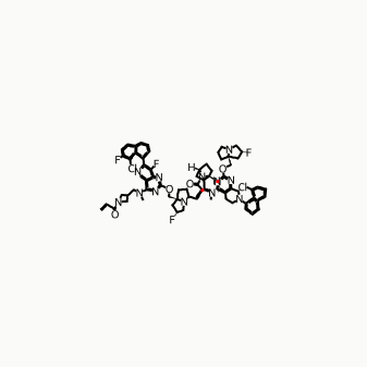 C=CC(=O)N1CC(CN(C)c2nc(OC[C@@]34CCC(/C=C\C(=O)N5[C@H]6CC[C@@H]5C(/C=[N+](/C)c5nc(OC[C@@]78CCCN7C[C@H](F)C8)nc7c5CCN(c5cccc8cccc(Cl)c58)C7)C6)N3C[C@H](F)C4)nc3c(F)c(-c4cccc5ccc(F)c(Cl)c45)ncc23)C1